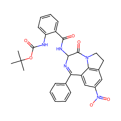 CC(C)(C)OC(=O)Nc1ccccc1C(=O)NC1N=C(c2ccccc2)c2cc([N+](=O)[O-])cc3c2N(CC3)C1=O